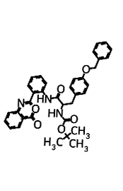 CC(C)(C)OC(=O)NC(Cc1ccc(OCc2ccccc2)cc1)C(=O)Nc1ccccc1-c1nc2ccccc2c(=O)o1